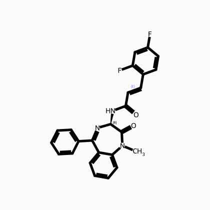 CN1C(=O)[C@H](NC(=O)/C=C/c2ccc(F)cc2F)N=C(c2ccccc2)c2ccccc21